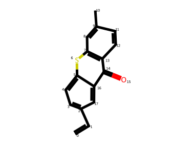 C=Cc1ccc2sc3cc(C)ccc3c(=O)c2c1